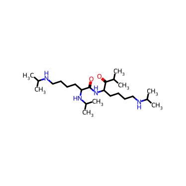 CC(C)NCCCCC(NC(C)C)C(=O)NC(CCCCNC(C)C)C(=O)C(C)C